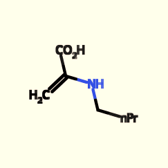 C=C(NCCCC)C(=O)O